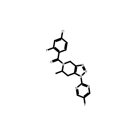 CC1Cc2c(nnn2-c2ncc(F)cn2)CN1C(=O)c1ccc(Cl)cc1F